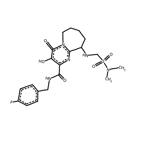 CN(C)S(=O)(=O)CNC1CCCCn2c1nc(C(=O)NCc1ccc(F)cc1)c(O)c2=O